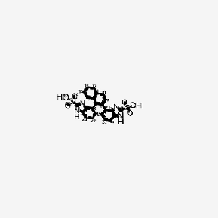 O=S(=O)(O)c1nc2c(-c3ccc4ccccc4c3-c3cccc4[nH]c(S(=O)(=O)O)nc34)cccc2[nH]1